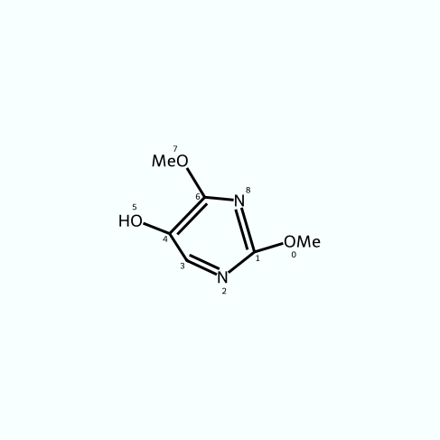 COc1ncc(O)c(OC)n1